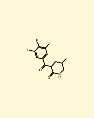 CC1CNC(=O)C(C(=O)c2cc(F)c(F)c(F)c2)C1